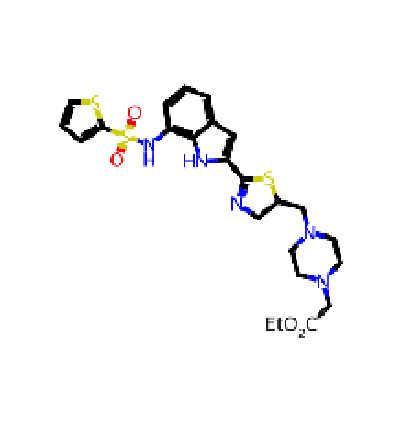 CCOC(=O)CN1CCN(CC2CN=C(c3cc4cccc(NS(=O)(=O)c5cccs5)c4[nH]3)S2)CC1